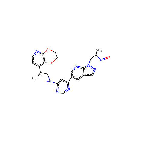 CC(Cn1ncc2cc(-c3cc(NC[C@@H](C)c4ccnc5c4OCCO5)ncn3)cnc21)N=O